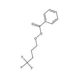 O=C(OOCCCC(F)(F)F)c1ccccc1